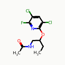 CCC(CNC(C)=O)Oc1nc(F)c(Cl)cc1Cl